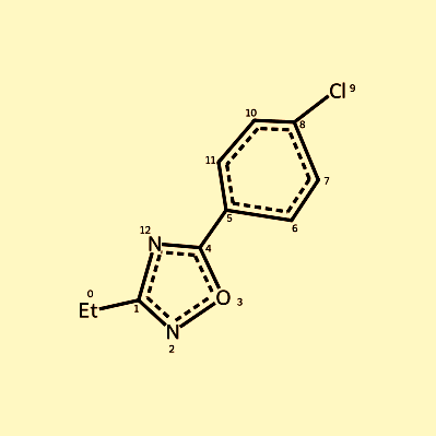 CCc1noc(-c2ccc(Cl)cc2)n1